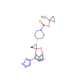 Cc1c2ncc(-n3cnnn3)c1[C@@]1(C[C@@H]1C1CCN(C(=O)OC3(C)CC3)CC1)O2